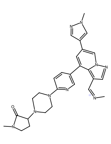 C/N=C\c1cnn2cc(-c3cnn(C)c3)cc(-c3ccc(N4CCN(C5CCN(C)C5=O)CC4)nc3)c12